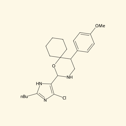 CCCCc1nc(Cl)c(C2NCC(c3ccc(OC)cc3)C3(CCCCC3)O2)[nH]1